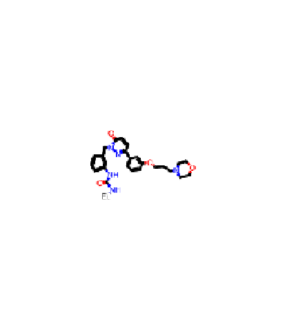 CCNC(=O)Nc1cccc(Cn2nc(-c3cccc(OCCCN4CCOCC4)c3)ccc2=O)c1